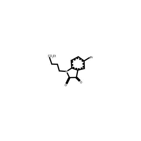 CCOC(=O)CCCN1C(=O)C(=O)c2cc(C(C)C)ccc21